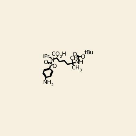 CC(C)N([C@@H](CCCC(C)(C)NC(=O)OC(C)(C)C)C(=O)O)S(=O)(=O)c1ccc(N)cc1